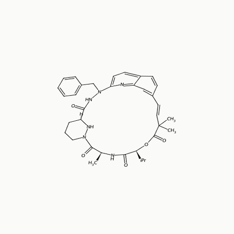 CC(C)[C@@H]1OC(=O)C(C)(C)/C=C/c2ccc3ccc(nc3c2)N(Cc2ccccc2)NC(=O)[C@@H]2CCCN(N2)C(=O)[C@H](C)NC1=O